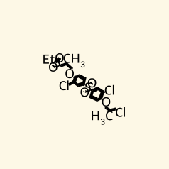 CCS(=O)(=O)C[C@H](C)COc1ccc(S(=O)(=O)c2ccc(OC[C@@H](C)CCl)c(Cl)c2)cc1Cl